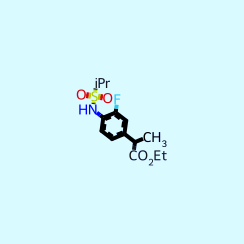 CCOC(=O)C(C)c1ccc(NS(=O)(=O)C(C)C)c(F)c1